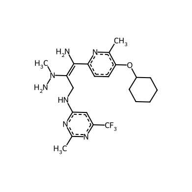 Cc1nc(NC/C(=C(/N)c2ccc(OC3CCCCC3)c(C)n2)N(C)N)cc(C(F)(F)F)n1